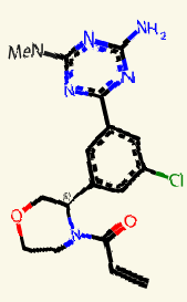 C=CC(=O)N1CCOC[C@H]1c1cc(Cl)cc(-c2nc(N)nc(NC)n2)c1